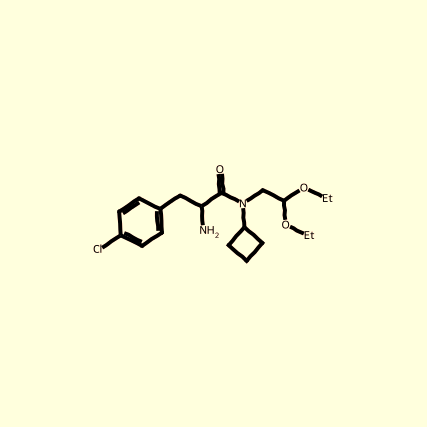 CCOC(CN(C(=O)C(N)Cc1ccc(Cl)cc1)C1CCC1)OCC